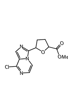 COC(=O)C1CCC(c2ncc3c(Cl)nccn23)O1